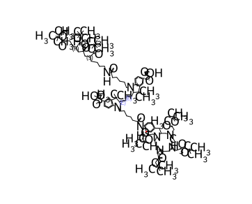 CC(C)(C)OC(=O)CC[C@H](CC(=O)C[C@H](CCCCNC(=O)CCCCC[N+]1=C(/C=C/C=C2/N(CCCCCC(=O)Nc3ccc(CC4CN(CC(=O)OC(C)(C)C)CCN(CC(=O)OC(C)(C)C)CCN(CC(=O)OC(C)(C)C)CCN4CC(=O)OC(C)(C)C)cc3)c3ccc(S(=O)(=O)O)cc3C2(C)C)C(C)(C)c2cc(S(=O)(=O)O)ccc21)C(=O)OC(C)(C)C)C(=O)OC(C)(C)C